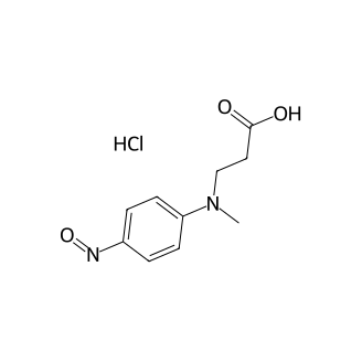 CN(CCC(=O)O)c1ccc(N=O)cc1.Cl